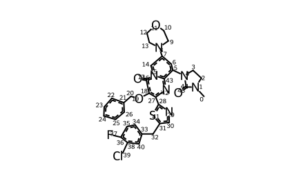 CN1CCN(c2cc(N3CCOCC3)cn3c(=O)c(OCc4ccccc4)c(-c4ncc(Cc5ccc(F)c(Cl)c5)s4)nc23)C1=O